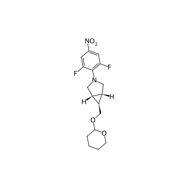 O=[N+]([O-])c1cc(F)c(N2C[C@@H]3[C@@H](COC4CCCCO4)[C@@H]3C2)c(F)c1